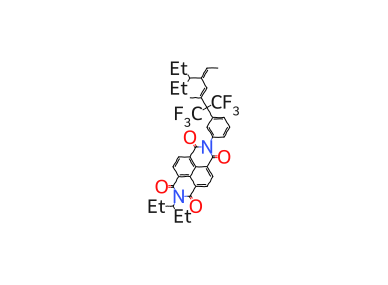 C/C=C(\C=C(/C)C(c1cccc(N2C(=O)c3ccc4c5c(ccc(c35)C2=O)C(=O)N(C(CC)CC)C4=O)c1)(C(F)(F)F)C(F)(F)F)C(CC)CC